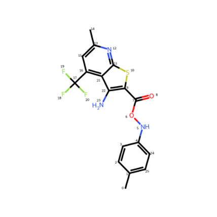 Cc1ccc(NOC(=O)c2sc3nc(C)cc(C(F)(F)F)c3c2N)cc1